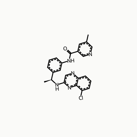 Cc1cncc(C(=O)Nc2cccc([C@H](C)Nc3cnc4cccc(Cl)c4n3)c2)c1